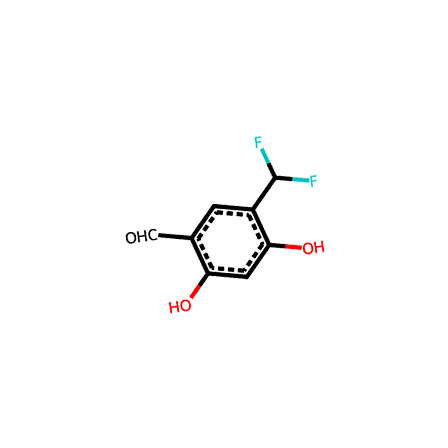 O=Cc1cc(C(F)F)c(O)cc1O